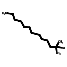 CCCCCCCCCCC[C](C)(C)[Na]